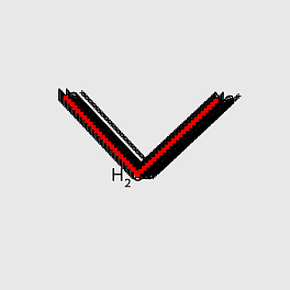 O.[Na+].[Na+].[Na+].[Na+].[Na+].[Na+].[Na+].[Na+].[Na+].[Na+].[Na+].[Na+].[Na+].[Na+].[Na+].[Na+].[Na+].[Na+].[Na+].[Na+].[Na+].[Na+].[Na+].[Na+].[Na+].[Na+].[Na+].[Na+].[Na+].[Na+].[Na+].[Na+].[Na+].[Na+].[Na+].[Na+].[Na+].[Na+].[Na+].[Na+].[Na+].[Na+].[Na+].[Na+].[Na+].[Na+].[Na+].[Na+].[Na+].[Na+].[Na+].[Na+].[Na+].[Na+].[Na+].[Na+].[Na+].[Na+].[Na+].[Na+].[Na+].[Na+].[Na+].[Na+].[Na+].[Na+].[Na+].[Na+].[Na+].[Na+].[Na+].[Na+].[Na+].[Na+].[Na+].[Na+].[Na+].[Na+].[Na+].[Na+].[Na+].[Na+].[Na+].[Na+].[Na+].[Na+].[Na+].[Na+].[Na+].[Na+].[Na+].[Na+].[Na+].[Na+].[Na+].[Na+].[Na+].[Na+].[Na+]